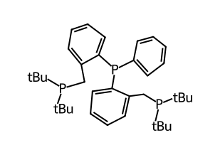 CC(C)(C)P(Cc1ccccc1P(c1ccccc1)c1ccccc1CP(C(C)(C)C)C(C)(C)C)C(C)(C)C